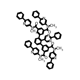 CN(C(=O)c1cc(C(=O)N(C)c2ccc(-c3ccccc3)nc2)cc(-c2cccc(-c3cc(C(=O)N(C)c4ccc(-c5ccccc5)nc4)cc(C(=O)N(C)c4ccc(-c5ccccc5)nc4)c3)c2-c2cnc(-c3ccccc3)nc2)c1)c1ccc(-c2ccccc2)nc1